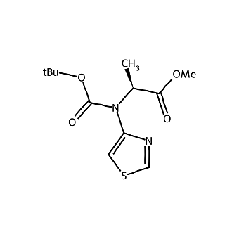 COC(=O)[C@H](C)N(C(=O)OC(C)(C)C)c1cscn1